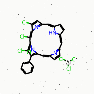 ClC1=Cc2cc3ccc(cc4nc(cc5c(-c6ccccc6)c(Cl)c(c(Cl)c1n2)n5Cl)C=C4)[nH]3.[Cl][Al]([Cl])[Cl]